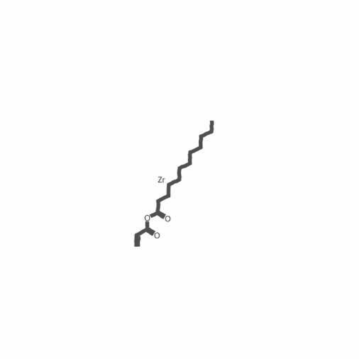 C=CC(=O)OC(=O)CCCCCCCCCCC.[Zr]